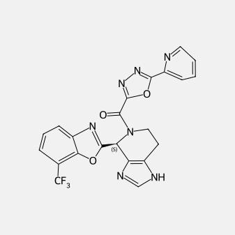 O=C(c1nnc(-c2ccccn2)o1)N1CCc2[nH]cnc2[C@H]1c1nc2cccc(C(F)(F)F)c2o1